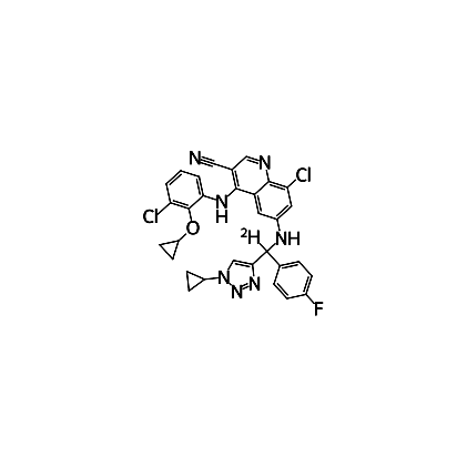 [2H]C(Nc1cc(Cl)c2ncc(C#N)c(Nc3cccc(Cl)c3OC3CC3)c2c1)(c1ccc(F)cc1)c1cn(C2CC2)nn1